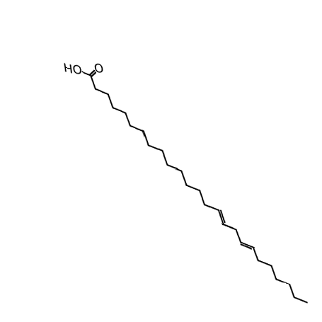 CCCCCCC=CCC=CCCCCCCCCCCCCCC(=O)O